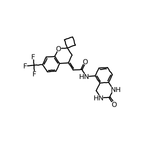 O=C(/C=C1\CC2(CCC2)Oc2cc(C(F)(F)F)ccc21)Nc1cccc2c1CNC(=O)N2